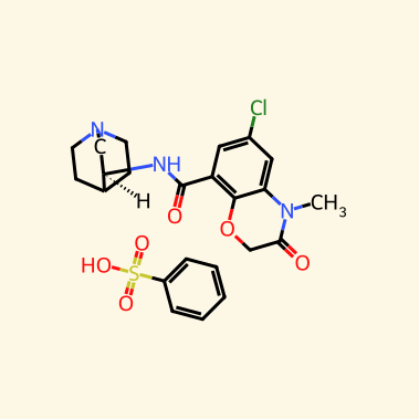 CN1C(=O)COc2c(C(=O)N[C@@H]3CN4CCC3CC4)cc(Cl)cc21.O=S(=O)(O)c1ccccc1